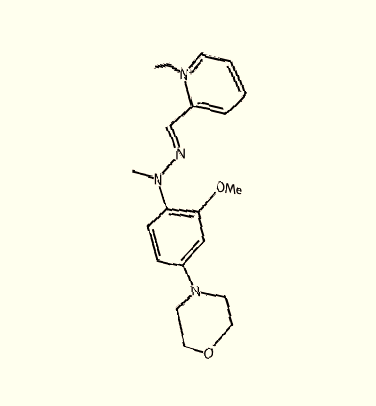 COc1cc(N2CCOCC2)ccc1N(C)/N=C/c1cccc[n+]1C